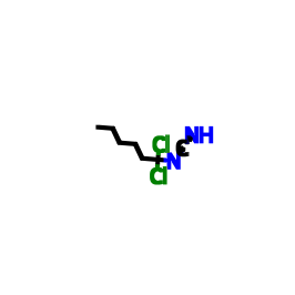 CCCCCC(Cl)(Cl)N=C=N